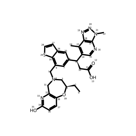 CC[C@@H]1CN(Cc2cc([C@H](CC(=O)O)c3cnc4c(nnn4C)c3C)cc3ccsc23)Cc2nc(O)ccc2O1